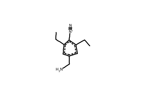 CCc1cc(CN)cc(CC)c1[N+]#N